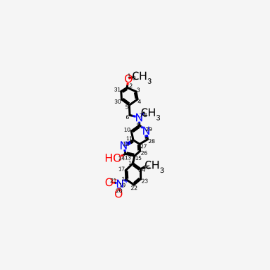 COc1ccc(CN(C)c2cc3nc(O)c(-c4cc([N+](=O)[O-])ccc4C)cc3cn2)cc1